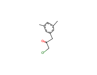 Cc1cc(C)cc(CC(=O)CCl)c1